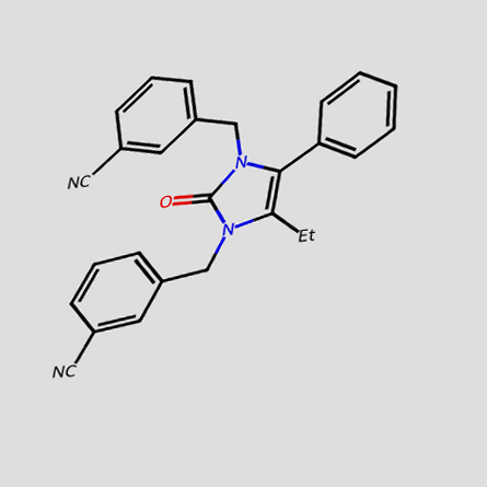 CCc1c(-c2ccccc2)n(Cc2cccc(C#N)c2)c(=O)n1Cc1cccc(C#N)c1